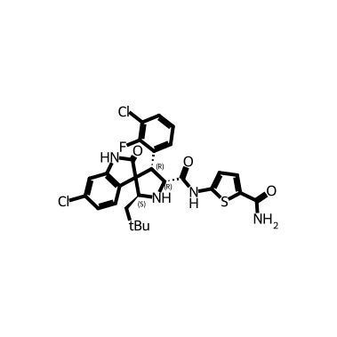 CC(C)(C)C[C@@H]1N[C@@H](C(=O)Nc2ccc(C(N)=O)s2)[C@@H](c2cccc(Cl)c2F)C12C(=O)Nc1cc(Cl)ccc12